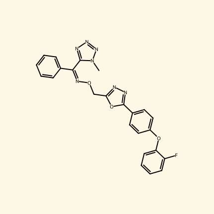 Cn1nnnc1/C(=N\OCc1nnc(-c2ccc(Oc3ccccc3F)cc2)o1)c1ccccc1